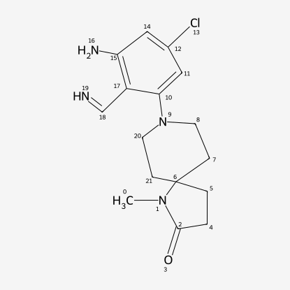 CN1C(=O)CCC12CCN(c1cc(Cl)cc(N)c1C=N)CC2